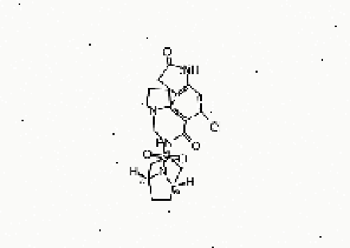 O=C1Cc2cc(C(=O)N[C@H]3C[C@H]4CC[C@@H](C3)N4S(=O)(=O)CCN3CCCC3)c(Cl)cc2N1